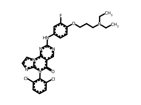 CCN(CC)CCCOc1ccc(Nc2ncc3c(=O)n(-c4c(Cl)cccc4Cl)c4nccn4c3n2)cc1F